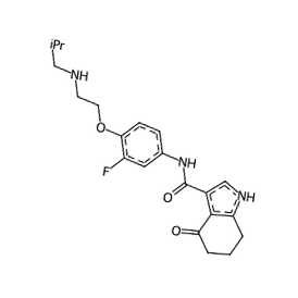 CC(C)CNCCOc1ccc(NC(=O)c2c[nH]c3c2C(=O)CCC3)cc1F